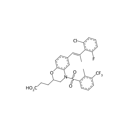 CC(=Cc1ccc2c(c1)N(S(=O)(=O)c1cccc(C(F)(F)F)c1C)CC(CCC(=O)O)O2)c1c(F)cccc1Cl